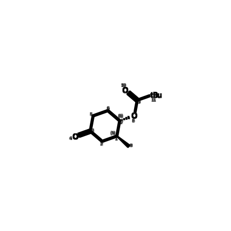 C[C@H]1CC(=O)CC[C@@H]1OC(=O)C(C)(C)C